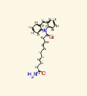 NC(=O)CCCCCCCCCC(=O)N1c2ccccc2Cc2ccccc21